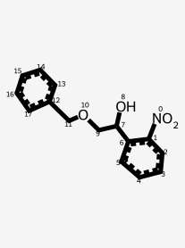 O=[N+]([O-])c1ccccc1C(O)COCc1ccccc1